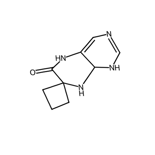 O=C1NC2=CN=CNC2NC12CCC2